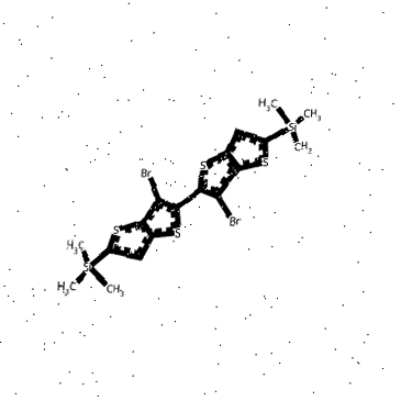 C[Si](C)(C)c1cc2sc(-c3sc4cc([Si](C)(C)C)sc4c3Br)c(Br)c2s1